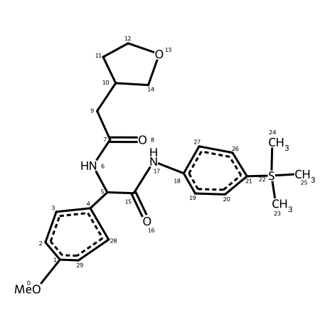 COc1ccc(C(NC(=O)CC2CCOC2)C(=O)Nc2ccc(S(C)(C)C)cc2)cc1